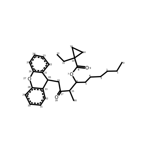 CCCCCCC(OC(=O)C1(CC)CC1)C(C)C(=O)CC1c2ccccc2Oc2ccccc21